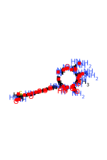 C[C@@H]1NC(=O)[C@H](CCCNC(=N)N)NC(=O)[C@H](CCCNC(=N)N)NC(=O)[C@@H](N)Cc2cn(nn2)CCCC[C@@H](C(=O)NCCCOCCOCCOCCCNC(=O)CCCC[C@H]2SC[C@H]3NC(=O)N[C@H]32)NC(=O)[C@H](CO)NC(=O)[C@H](CCC(N)=O)NC1=O